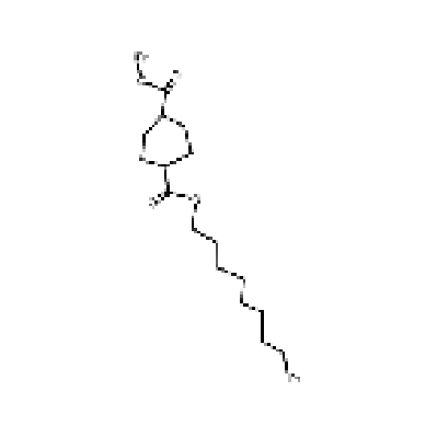 CC(C)CCCCCCCCOC(=O)C1CCC(C(=O)OC(C)C)CC1